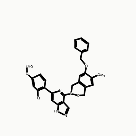 CCc1cc(OC=O)ccc1-c1cc2[nH]ncc2c(N2CCc3cc(OC)c(OCc4ccccc4)cc3C2)n1